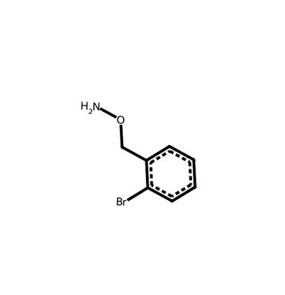 NOCc1ccccc1Br